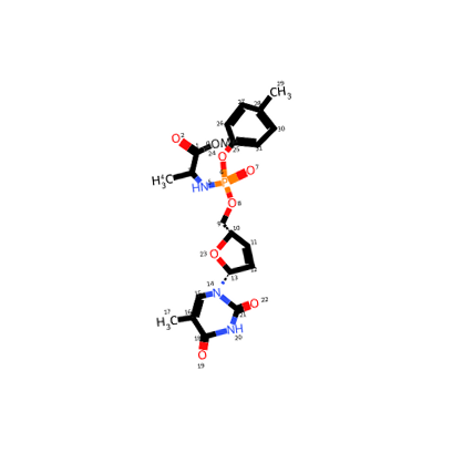 COC(=O)C(C)NP(=O)(OC[C@@H]1C=C[C@H](n2cc(C)c(=O)[nH]c2=O)O1)Oc1ccc(C)cc1